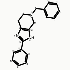 c1ccc(CN2CCc3nc(-c4ccccc4)[nH]c3C2)cc1